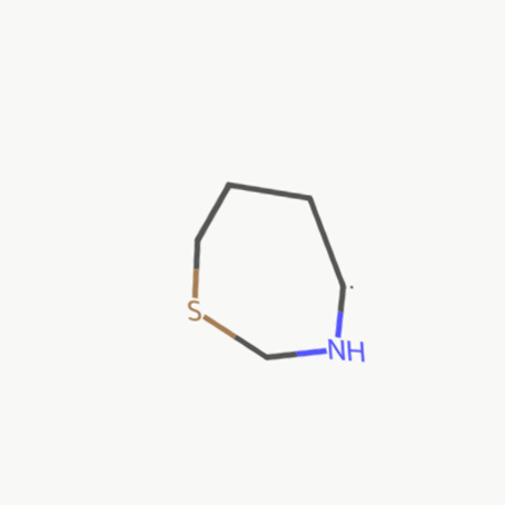 [CH]1CCCSCN1